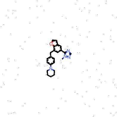 Cn1ncnc1-c1cc(Cc2ccc(N3C[CH]CCC3)cc2)c2occc2c1